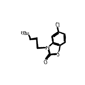 CC(C)(C)CCCn1c(=O)sc2ccc(Cl)cc21